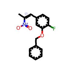 C/C(=C/c1ccc(F)c(OCc2ccccc2)c1)[N+](=O)[O-]